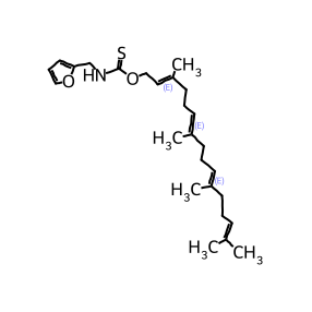 CC(C)=CCC/C(C)=C/CC/C(C)=C/CC/C(C)=C/COC(=S)NCc1ccco1